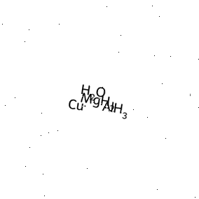 O.[AlH3].[Cu].[MgH2]